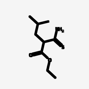 CCOC(=O)C(CC(C)C)C(N)=S